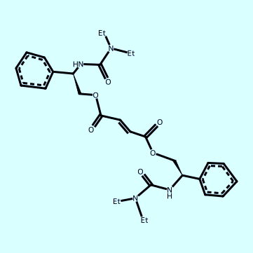 CCN(CC)C(=O)N[C@@H](COC(=O)/C=C/C(=O)OC[C@H](NC(=O)N(CC)CC)c1ccccc1)c1ccccc1